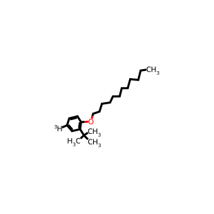 [3H]c1ccc(OCCCCCCCCCCCC)c(C(C)(C)C)c1